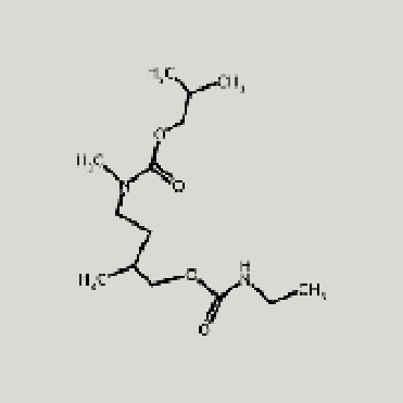 CCNC(=O)OCC(C)CCN(C)C(=O)OCC(C)C